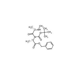 CN[C@@H](C)C(=O)N(C(=O)OC(C)(C)C)[C@@H](C)C(=O)OCc1ccccc1